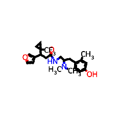 Cc1cc(O)ccc1CC(CNC(=O)CC(c1ccoc1)C1(C(F)(F)F)CC1)N(C)C